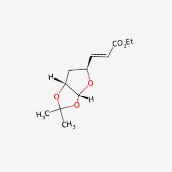 CCOC(=O)/C=C/[C@@H]1C[C@H]2OC(C)(C)O[C@H]2O1